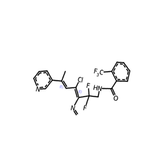 C=N/C(=C(Cl)\C=C(/C)c1cccnc1)C(F)(F)CNC(=O)c1ccccc1C(F)(F)F